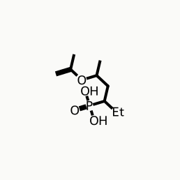 C=C(C)OC(C)CC(CC)P(=O)(O)O